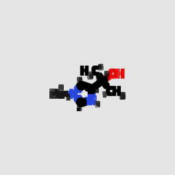 CCC(C)n1cnc(C(C)(C)O)c1